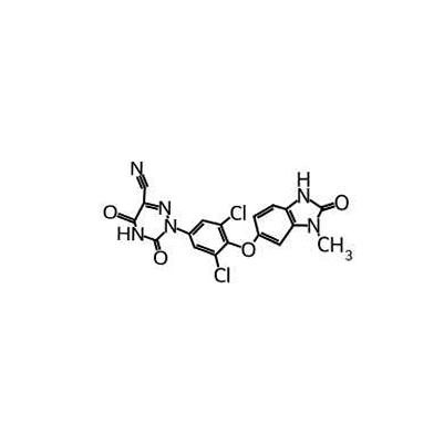 Cn1c(=O)[nH]c2ccc(Oc3c(Cl)cc(-n4nc(C#N)c(=O)[nH]c4=O)cc3Cl)cc21